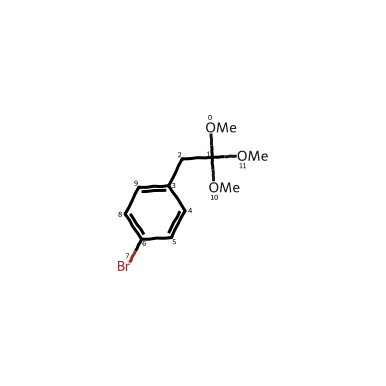 COC(Cc1ccc(Br)cc1)(OC)OC